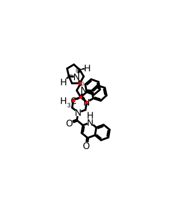 Cc1nc2ccccc2n1[C@H]1C[C@H]2CC[C@@H](C1)N2CCC1(c2ccccc2)CCN(C(=O)c2cc(=O)c3ccccc3[nH]2)CC1